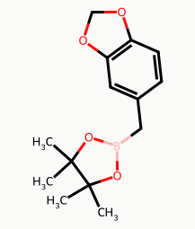 CC1(C)OB(Cc2ccc3c(c2)OCO3)OC1(C)C